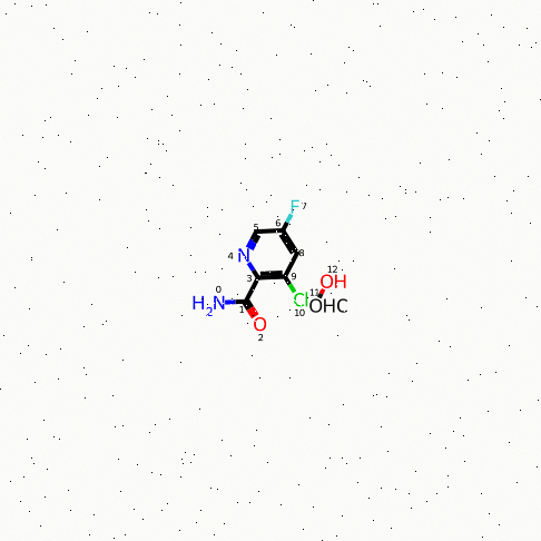 NC(=O)c1ncc(F)cc1Cl.O=CO